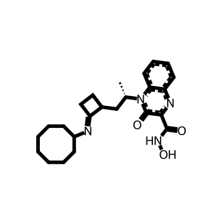 C[C@@H](CC1CCC1=NC1CCCCCCC1)n1c(=O)c(C(=O)NO)nc2ccccc21